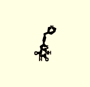 O=c1[nH]c(=O)c2cc(C#CCc3cccnc3)sc2[nH]1